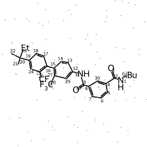 CCC(C)NC(=O)c1cccc(C(=O)Nc2ccc(-c3ccc(C(C)(C)CC)cc3C(F)(F)F)c(C(F)(F)F)c2)c1